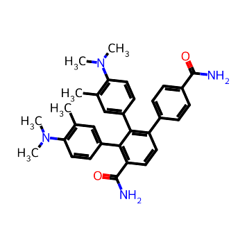 Cc1cc(-c2c(C(N)=O)ccc(-c3ccc(C(N)=O)cc3)c2-c2ccc(N(C)C)c(C)c2)ccc1N(C)C